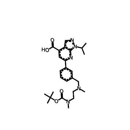 CC(C)n1ncc2c(C(=O)O)cc(-c3cccc(CN(C)CCN(C)C(=O)OC(C)(C)C)c3)nc21